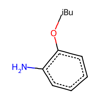 CCC(C)Oc1ccccc1N